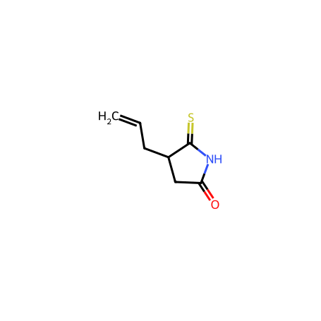 C=CCC1CC(=O)NC1=S